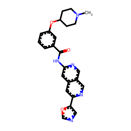 CN1CCC(Oc2cccc(C(=O)Nc3cc4cc(-c5cnco5)ncc4cn3)c2)CC1